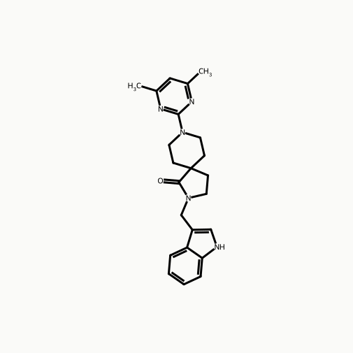 Cc1cc(C)nc(N2CCC3(CCN(Cc4c[nH]c5ccccc45)C3=O)CC2)n1